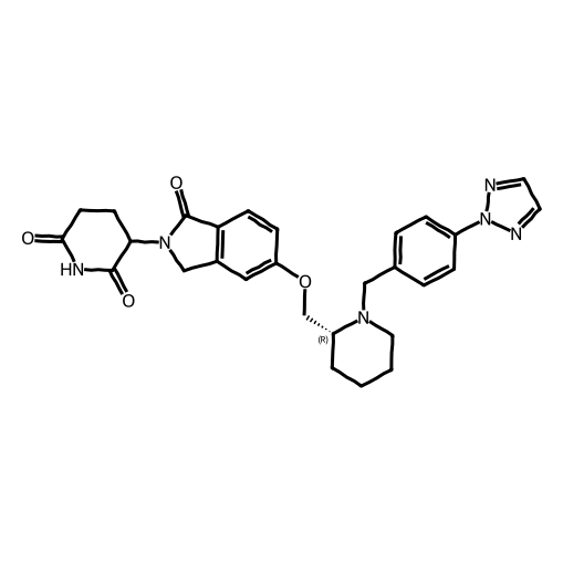 O=C1CCC(N2Cc3cc(OC[C@H]4CCCCN4Cc4ccc(-n5nccn5)cc4)ccc3C2=O)C(=O)N1